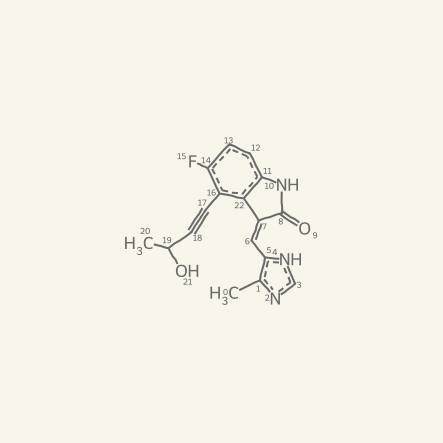 Cc1nc[nH]c1C=C1C(=O)Nc2ccc(F)c(C#CC(C)O)c21